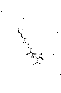 CC(C)[C@H](NNC(=O)CCOCCOCCN)C(=O)O